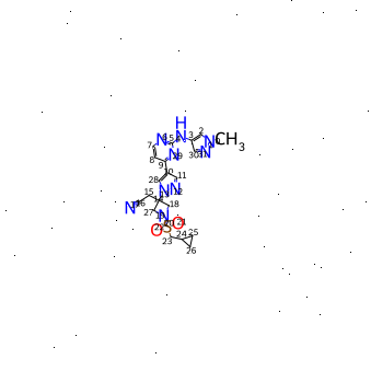 Cn1cc(Nc2nccc(-c3cnn(C4(CC#N)CN(S(=O)(=O)CC5CC5)C4)c3)n2)cn1